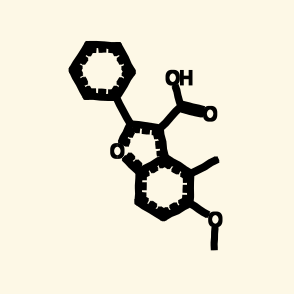 COc1ccc2oc(-c3ccccc3)c(C(=O)O)c2c1C